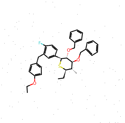 CCOc1ccc(Cc2cc([C@@H]3S[C@H](CC)[C@@H](C)[C@H](OCc4ccccc4)[C@H]3OCc3ccccc3)ccc2F)cc1